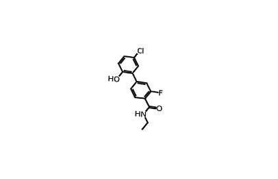 CCNC(=O)c1ccc(-c2cc(Cl)ccc2O)cc1F